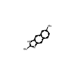 CC(C)(C)c1ccc2cc3nc(C(C)(C)C)[nH]c3cc2c1